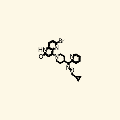 O=c1cc(N2CCC(/C(=N/OCC3CC3)c3ccccn3)CC2)c2nc(Br)ccc2[nH]1